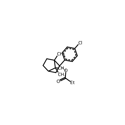 CCC(=O)O[C@]1(c2ccc(Cl)cc2)CC2CCC1(C)C2(C)C